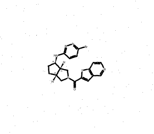 O=C(c1cc2cnccc2s1)N1C[C@@H]2CC[C@@H](Nc3ccc(Br)nn3)[C@@H]2C1